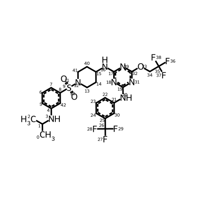 CC(C)Nc1cccc(S(=O)(=O)N2CCC(Nc3nc(Nc4cccc(C(F)(F)F)c4)nc(OCC(F)(F)F)n3)CC2)c1